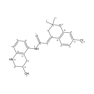 CC1(C)CC(=CC(=O)Nc2cccc3c2CC(O)CN3)c2ccc(C(F)(F)F)cc2O1